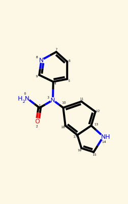 NC(=O)N(c1cccnc1)c1ccc2[nH]ccc2c1